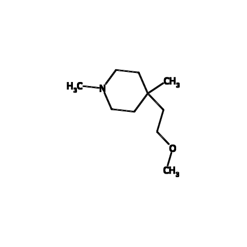 COCCC1(C)CCN(C)CC1